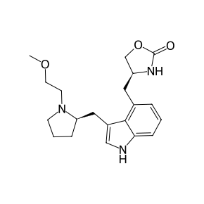 COCCN1CCC[C@@H]1Cc1c[nH]c2cccc(C[C@H]3COC(=O)N3)c12